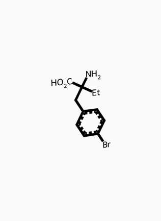 CCC(N)(Cc1ccc(Br)cc1)C(=O)O